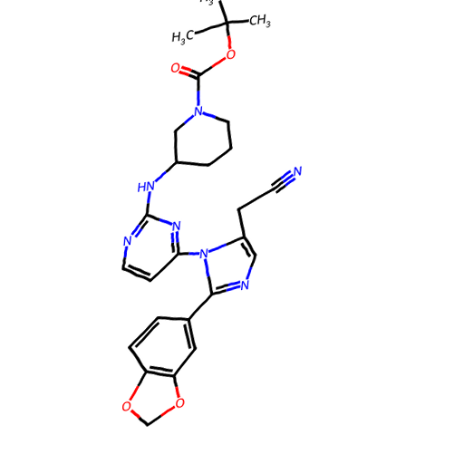 CC(C)(C)OC(=O)N1CCCC(Nc2nccc(-n3c(CC#N)cnc3-c3ccc4c(c3)OCO4)n2)C1